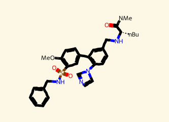 CCCC[C@H](NCc1ccc(-n2ccnc2)c(-c2ccc(OC)c(S(=O)(=O)NCc3ccccc3)c2)c1)C(=O)NC